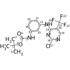 CC(C)(C)OC(=O)Nc1cccc(Nc2nc(Cl)ncc2C(F)(F)F)c1